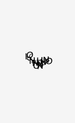 COc1cc(N2CCN(C(=O)Cn3ncc4ccc(NC(C)=O)nc43)CC2)ccc1I